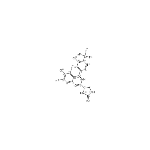 O=C1NCC(C(=O)N[C@H](c2cnc(C(F)(F)F)c(Cl)c2)c2ccc(F)c(Cl)c2F)N1